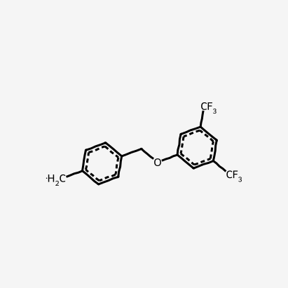 [CH2]c1ccc(COc2cc(C(F)(F)F)cc(C(F)(F)F)c2)cc1